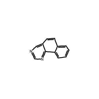 c1ccc2c(c1)ccc1cncnc12